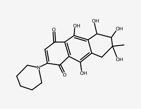 CC1(O)Cc2c(O)c3c(c(O)c2C(O)C1O)C(=O)C=C(N1CCCCC1)C3=O